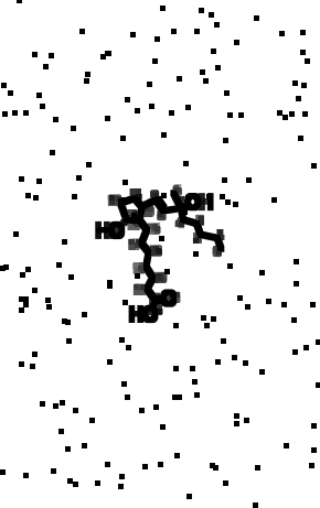 CCCCCC(C)(O)C=CC1CC[C@H](O)C1CCCCCCC(=O)O